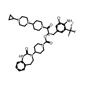 Nc1c(Cl)cc(C[C@@H](OC(=O)N2CCC(N3CCc4ccccc4NC3=O)CC2)C(=O)N2CCC(N3CCN(C4CC4)CC3)CC2)cc1C(F)(F)F